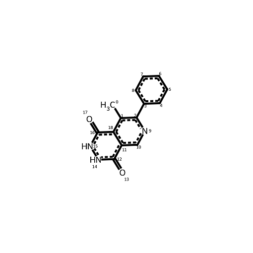 Cc1c(-c2ccccc2)ncc2c(=O)[nH][nH]c(=O)c12